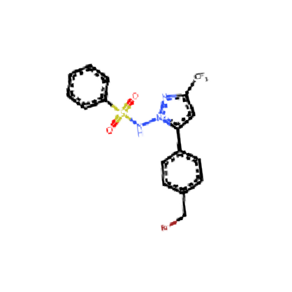 O=S(=O)(Nn1nc(C(F)(F)F)cc1-c1ccc(CBr)cc1)c1ccccc1